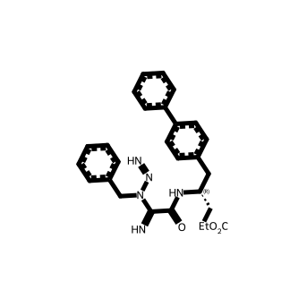 CCOC(=O)C[C@@H](Cc1ccc(-c2ccccc2)cc1)NC(=O)C(=N)N(Cc1ccccc1)N=N